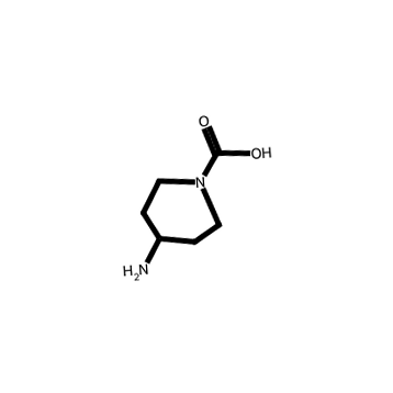 NC1CCN(C(=O)O)CC1